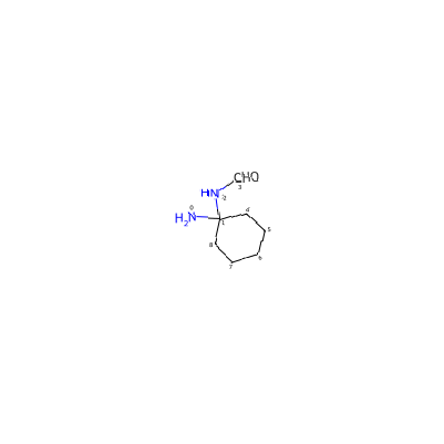 NC1(NC=O)CCCCC1